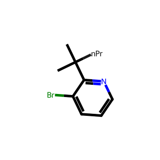 CCCC(C)(C)c1ncccc1Br